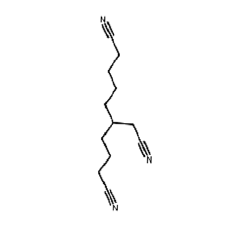 N#CCCCCC(CC#N)CCCC#N